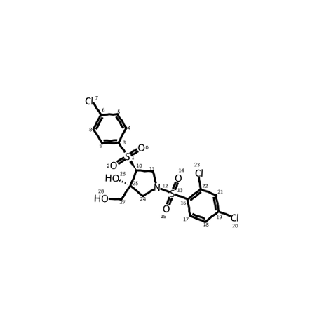 O=S(=O)(c1ccc(Cl)cc1)[C@H]1CN(S(=O)(=O)c2ccc(Cl)cc2Cl)C[C@@]1(O)CO